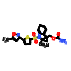 NC(=O)OCC1(c2ccccc2)CC1(NS(=O)(=O)c1ccc(-c2cc(C(F)(F)F)on2)s1)C(=O)O